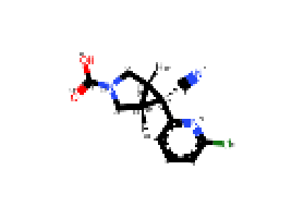 N#C[C@]1(c2cccc(Cl)n2)[C@@H]2CN(C(=O)O)C[C@@H]21